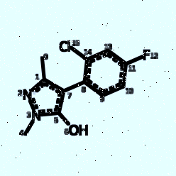 Cc1nn(C)c(O)c1-c1ccc(F)cc1Cl